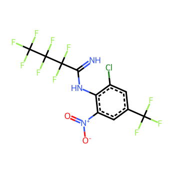 N=C(Nc1c(Cl)cc(C(F)(F)F)cc1[N+](=O)[O-])C(F)(F)C(F)(F)C(F)(F)F